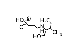 CCC(C)[C@@H](CO)NCCCS(=O)(=O)O